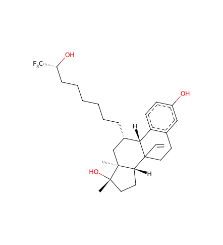 C=CC12CCc3cc(O)ccc3[C@H]1[C@@H](CCCCCC[C@@H](O)C(F)(F)F)C[C@@]1(C)[C@H]2CC[C@]1(C)O